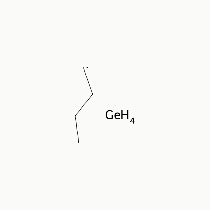 [CH2]CCC.[GeH4]